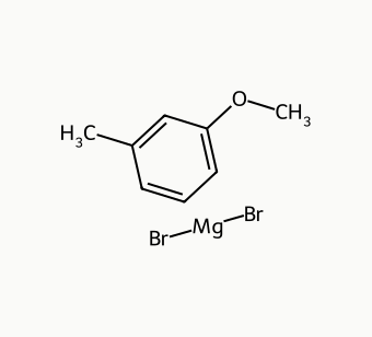 COc1cccc(C)c1.[Br][Mg][Br]